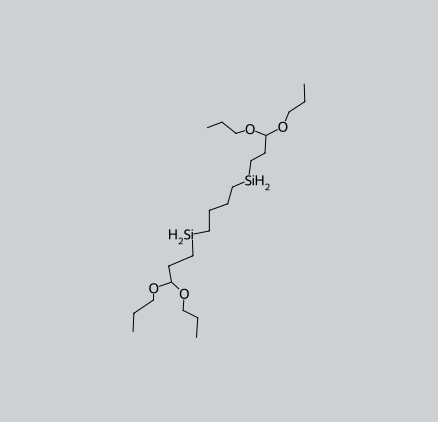 CCCOC(CC[SiH2]CCCC[SiH2]CCC(OCCC)OCCC)OCCC